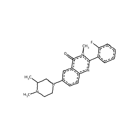 CC1CN(c2ccc3nc(-c4ccccc4F)n(C)c(=O)c3c2)CCN1C